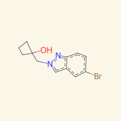 OC1(Cn2cc3cc(Br)ccc3n2)CCC1